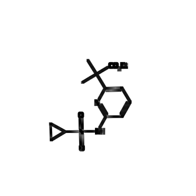 CCOC(=O)C(C)(C)c1cccc(NS(=O)(=O)C2CC2)n1